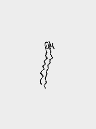 CCCCCCCCCCCCCCCC.CCCCCCCCCCCCO